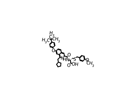 COc1ccc(CSC[C@@H](NC(=O)c2cc3ccc(Oc4ccc(C(C)(C)C)cc4)cc3c(CC3CCCC3)n2)C(=O)O)cc1